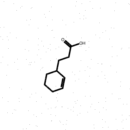 O=C(O)CCC1C=CCCC1